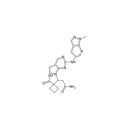 Cn1ncc2cc(Nc3ncc4ccn(C(CC(N)=O)C5(C(=O)O)CCC5)c4n3)cnc21